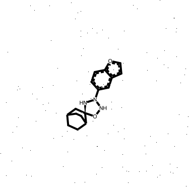 c1cc2cc(N3NO[C@]4(CC5CCC4CC5)N3)ccc2o1